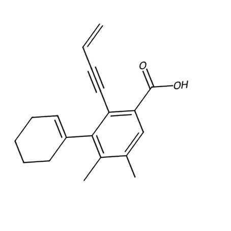 C=CC#Cc1c(C(=O)O)cc(C)c(C)c1C1=CCCCC1